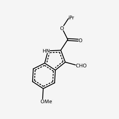 COc1ccc2[nH]c(C(=O)OC(C)C)c(C=O)c2c1